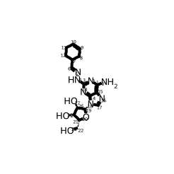 Nc1nc(N/N=C/C2CC=CCC2)nc2c1ncn2[C@@H]1O[C@H](CO)[C@@H](O)[C@H]1O